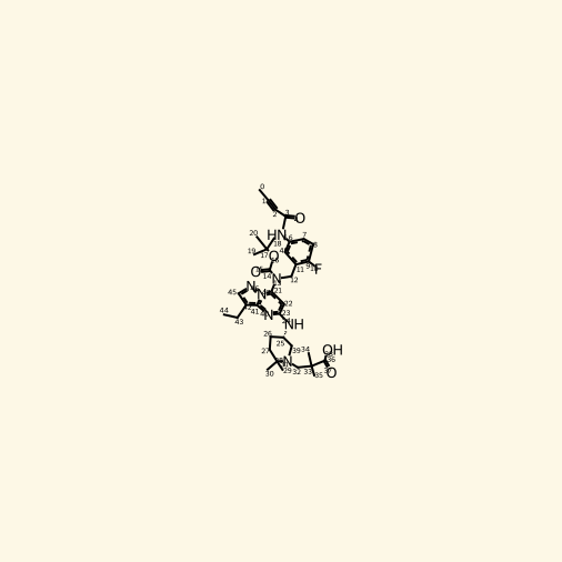 CC#CC(=O)Nc1ccc(F)c(CN(C(=O)OC(C)(C)C)c2cc(N[C@H]3CCC(C)(C)N(CC(C)(C)C(=O)O)C3)nc3c(CC)cnn23)c1